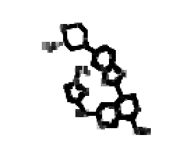 CNc1ncc(-c2nc3ccc(N4CCO[C@@H](C)C4)cn3n2)c2cc(Nc3ccn(C)n3)ncc12